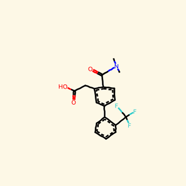 CN(C)C(=O)c1ccc(-c2ccccc2C(F)(F)F)cc1CC(=O)O